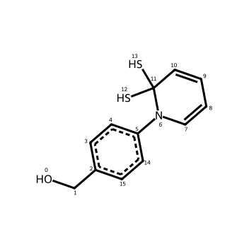 OCc1ccc(N2C=CC=CC2(S)S)cc1